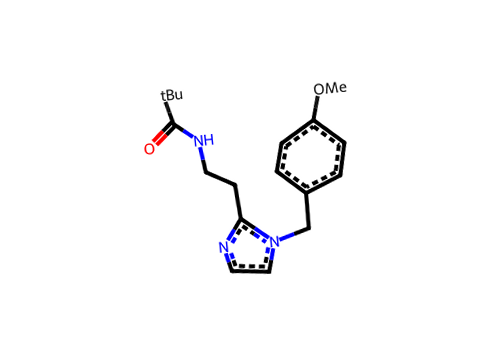 COc1ccc(Cn2ccnc2CCNC(=O)C(C)(C)C)cc1